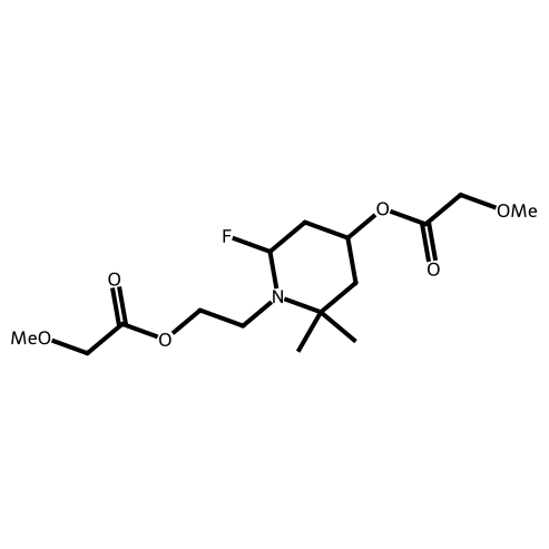 COCC(=O)OCCN1C(F)CC(OC(=O)COC)CC1(C)C